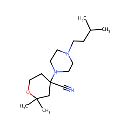 CC(C)CCN1CCN(C2(C#N)CCOC(C)(C)C2)CC1